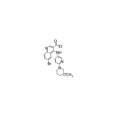 CCC(=O)c1cnc2ccc(Br)cc2c1Nc1ccc(N2CCC[C@H](C)C2)nc1